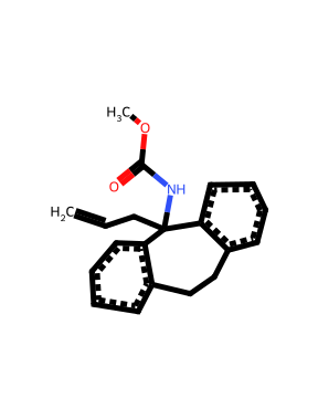 C=CCC1(NC(=O)OC)c2ccccc2CCc2ccccc21